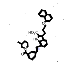 CC1CCCN(C(=O)c2cccc(/C=C/c3cccc4c(CCCOc5cccc6ccccc56)c(C(=O)O)[nH]c34)c2)C1